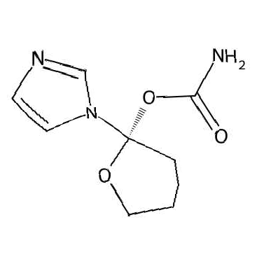 NC(=O)O[C@]1(n2ccnc2)CCCO1